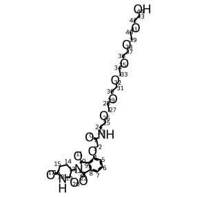 O=C(COc1cccc2c1C(=O)N(C1CCC(=O)NC1=O)C2=O)NCCOCCOCCOCCOCCOCCOCCO